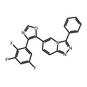 Fc1cc(F)c(F)c(-c2ncoc2-c2ccc3nnc(-c4ccccc4)n3c2)c1